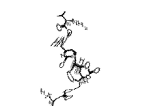 CC(C)[C@@H](N)C(=O)OC[C@H]1O[C@@H](n2ccc(NOC(=O)[C@H](N)C(C)C)nc2=O)[C@@H]2OC(=O)O[C@@H]21